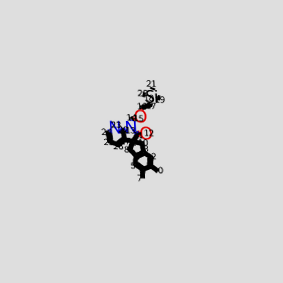 Cc1cc2c(cc1C)CC1(C2)C(=O)N(COCC[Si](C)(C)C)c2ncccc21